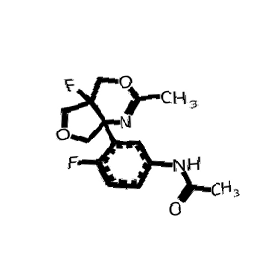 CC(=O)Nc1ccc(F)c(C23COCC2(F)COC(C)=N3)c1